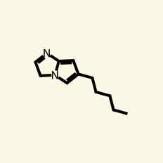 CCCCCc1cc2n(c1)CC=N2